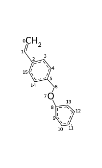 C=Cc1ccc(COc2cc[c]cc2)cc1